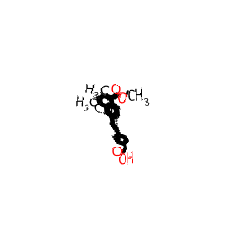 CCOC(=O)C1=C(C)CC(C)(C)c2cc(C#Cc3ccc(CC(=O)O)cc3)ccc21